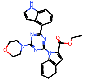 CCOC(=O)c1cc2c(n1-c1nc(-c3cccc4[nH]ccc34)nc(N3CCOCC3)n1)C=CCC2